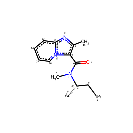 CC(=O)[C@@H](CC(C)C)N(C)C(=O)c1c(C)nc2ccccn12